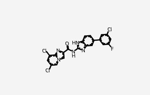 O=C(Nc1nc2cc(-c3cc(F)cc(Cl)c3)ccc2[nH]1)c1cn2cc(Cl)cc(Cl)c2n1